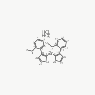 CCc1ccccc1C1=[C]([Zr][C]2=C(c3ccccc3CC)C=CC2)CC=C1.Cl.Cl